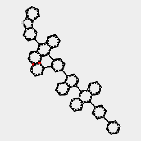 c1ccc(-c2ccc(-c3c4ccccc4c(-c4ccc(-c5ccc(-c6c7ccccc7c(-c7ccc8oc9ccccc9c8c7)c7ccccc67)c(-c6ccccc6)c5)c5ccccc45)c4ccccc34)cc2)cc1